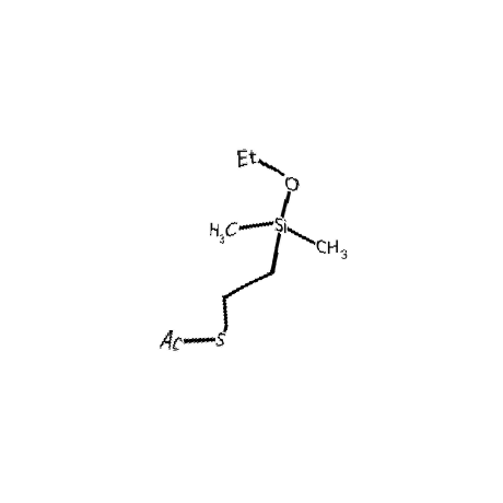 CCO[Si](C)(C)CCSC(C)=O